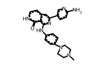 CN1CCN(c2ccc(Nc3nc(-c4ccc(N)nc4)cc4cc[nH]c(=O)c34)cc2)CC1